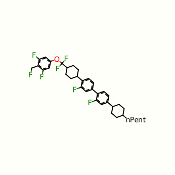 CCCCCC1CCC(c2ccc(-c3ccc(C4CCC(C(F)(F)Oc5cc(F)c(CF)c(F)c5)CC4)c(F)c3)c(F)c2)CC1